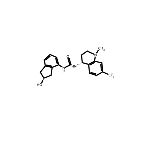 CN1CC[C@@H](NC(=O)Nc2cccc3c2C[C@@H](O)C3)c2ccc(C(F)(F)F)cc21